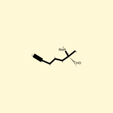 C#CCCC[C@@](C)(C=O)NC